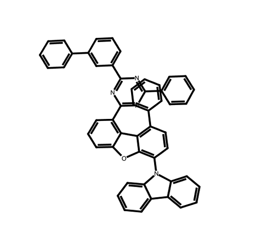 c1ccc(-c2cccc(-c3nc(-c4ccccc4)nc(-c4cccc5oc6c(-n7c8ccccc8c8ccccc87)ccc(-c7ccccc7)c6c45)n3)c2)cc1